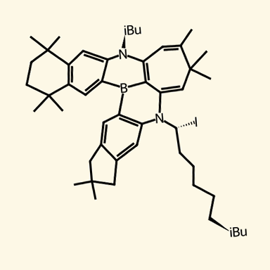 CC[C@H](C)CCCCC[C@@H](I)N1C2=CC(C)(C)C(C)=CC3=C2B(c2cc4c(cc2N3[C@H](C)CC)C(C)(C)CCC4(C)C)c2cc3c(cc21)CC(C)(C)C3